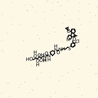 O=C(NCCCCSc1ccc(Cl)c(COC2(c3cnccc3-c3ccccc3OC3CC3)CC2)c1)NC1CCC(NC(=O)NC[C@H](O)[C@@H](O)[C@H](O)[C@H](O)CO)CC1